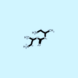 CC(CN)SC(=O)SC(C)CN